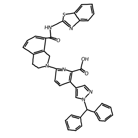 O=C(Nc1nc2ccccc2s1)c1cccc2c1CN(c1ccc(-c3cnn(C(c4ccccc4)c4ccccc4)c3)c(C(=O)O)n1)CC2